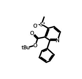 C[S+]([O-])c1ccnc(-c2ccccc2)c1C(=O)OC(C)(C)C